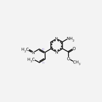 C=N/C=C(\C=C/C)c1cnc(N)c(C(=O)OC)n1